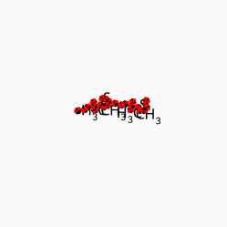 CC1(C)c2cc(-c3c4ccccc4c(-c4ccc5cc(-c6ccc(-c7cc8sc9ccccc9c8c8c9c(ccc78)C(C)(C)c7cc(-c8c%10ccccc%10c(-c%10ccc%11cc(-c%12ccccc%12)ccc%11c%10)c%10ccccc8%10)ccc7-9)cc6)ccc5c4)c4ccccc34)ccc2-c2c1ccc1ccc3c4ccccc4sc3c21